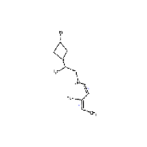 C/C=C(\C=C/NCC(C)N1CC(CC)C1)CC